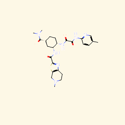 Cc1ccc(NC(=O)C(=O)N[C@@H]2CC[C@H](C(=O)N(C)C)C[C@@H]2NC(=O)c2nc3c(s2)CN(C)CC3)nc1